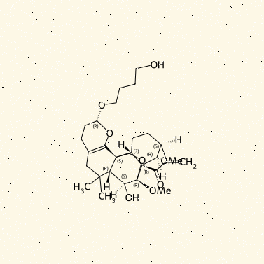 C=C1C(=O)[C@]23[C@H](OC)[C@H]1CC[C@H]2[C@@]12CO[C@@]3(OC)[C@@H](O)[C@@H]1C(C)(C)CC1=C2O[C@@H](OCCCCO)CC1